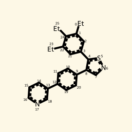 CCc1cc(-c2sncc2-c2ccc(-c3cccnc3)cc2)cc(CC)c1CC